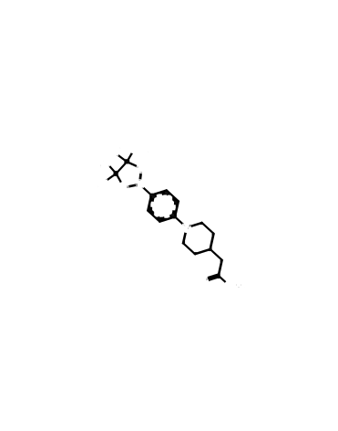 COC(=O)CC1CCN(c2ccc(B3OC(C)(C)C(C)(C)O3)cc2)CC1